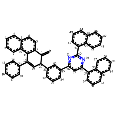 C=C1c2ccc3ccccc3c2C(c2ccccc2)=CC1c1cccc(-c2cc(-c3cccc4ccccc34)nc(-c3cccc4ccccc34)n2)c1